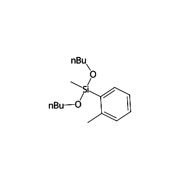 CCCCO[Si](C)(OCCCC)c1ccccc1C